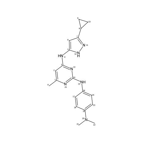 Cc1cc(Nc2cc(C3CC3)n[nH]2)nc(Nc2ccc(N(C)C)cc2)n1